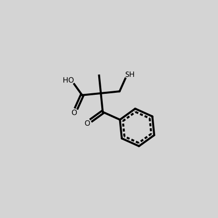 CC(CS)(C(=O)O)C(=O)c1ccccc1